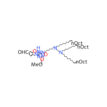 CCCCCCCC/C=C\CCCCCCCCN(CCCCCCCC/C=C\CCCCCCCC)CCCN(CCCCCCCC/C=C\CCCCCCCC)CCCCCC(=O)Nc1nc(OCCOC)nc2c1[nH]c(=O)n2Cc1ccc(C=O)cc1